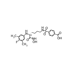 Cc1cc(N[C@H](CCCCNS(=O)(=O)c2ccc(C(=O)O)cc2)C(=O)NO)cc(C)c1F